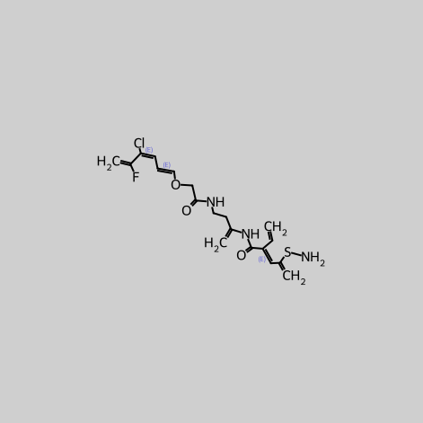 C=C/C(=C\C(=C)SN)C(=O)NC(=C)CCNC(=O)CO/C=C/C=C(/Cl)C(=C)F